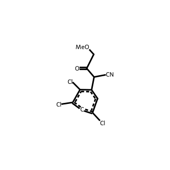 COCC(=O)C(C#N)c1cc(Cl)cc(Cl)c1Cl